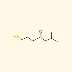 CC(C)CC(=O)[CH]CCS